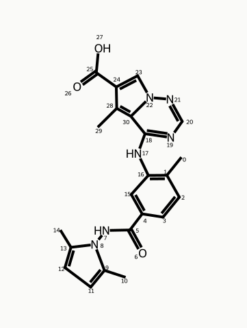 Cc1ccc(C(=O)Nn2c(C)ccc2C)cc1Nc1ncnn2cc(C(=O)O)c(C)c12